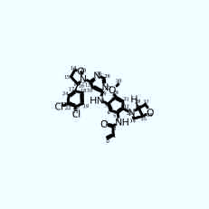 C=CC(=O)Nc1cc(Nc2cc(N3OCC[C@@H]3c3ccc(Cl)c(Cl)c3)ncn2)c(OC)cc1N1CC2OC[C@H]21